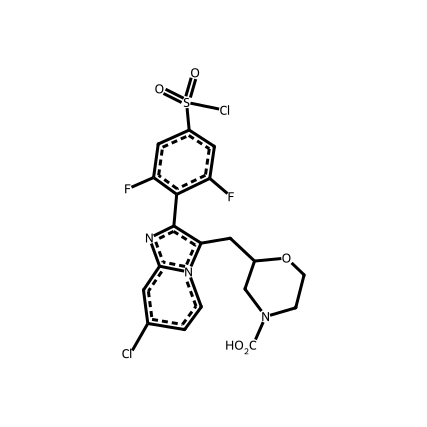 O=C(O)N1CCOC(Cc2c(-c3c(F)cc(S(=O)(=O)Cl)cc3F)nc3cc(Cl)ccn23)C1